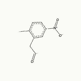 [CH2]c1ccc([N+](=O)[O-])cc1C[C]=O